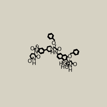 Cn1c(=O)n(C2CCC(=O)NC2=O)c2ccc(C3CCN([C@@H](COCc4ccccc4)C(=O)Nc4ccc5c(F)c(N6CC(=O)NS6(O)O)c(OCc6ccccc6)cc5c4)CC3)cc21